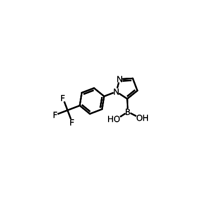 OB(O)c1ccnn1-c1ccc(C(F)(F)F)cc1